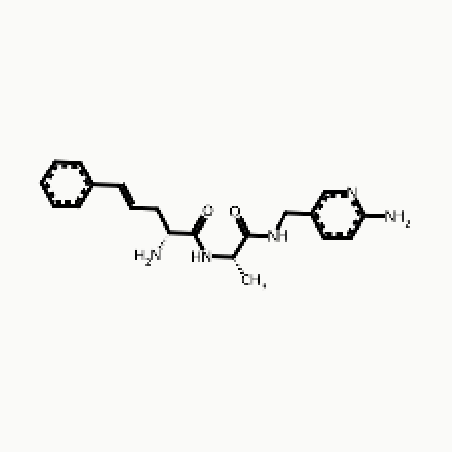 C[C@H](NC(=O)[C@H](N)C/C=C/c1ccccc1)C(=O)NCc1ccc(N)nc1